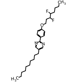 CCCCCCCCCCc1cnc(-c2ccc(OCCC(F)C(F)CCCC)cc2)nc1